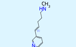 CNCCC/C=C/c1cccnc1